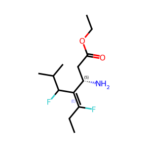 CCOC(=O)C[C@H](N)/C(=C(\F)CC)C(F)C(C)C